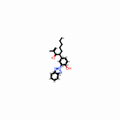 C=C(C)C(=O)C(CCCCC)c1ccc(O)c(-n2nc3ccccc3n2)c1